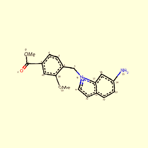 COC(=O)c1ccc(Cn2ccc3ccc(N)cc32)c(OC)c1